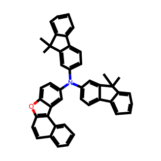 CC1(C)c2ccccc2-c2ccc(N(c3ccc4c(c3)C(C)(C)c3ccccc3-4)c3ccc4oc5ccc6ccccc6c5c4c3)cc21